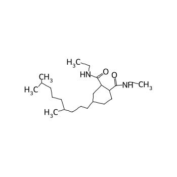 CCNC(=O)C1CCC(CCCC(C)CCCC(C)C)CC1C(=O)NCC